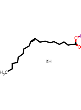 CCCCCCCC/C=C\CCCCCCCC(=O)OI.[KH]